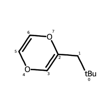 CC(C)(C)CC1=COC=CO1